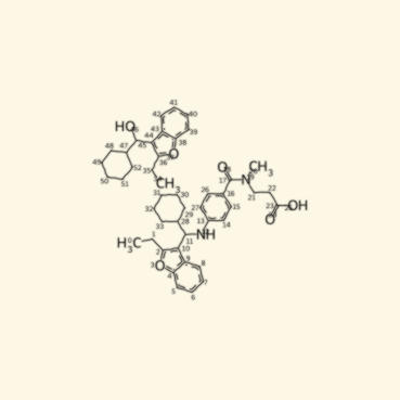 CCc1oc2ccccc2c1C(Nc1ccc(C(=O)N(C)CCC(=O)O)cc1)C1CCCCC1.CCc1oc2ccccc2c1C(O)C1CCCCC1